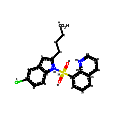 O=C(O)CCCc1cc2cc(Cl)ccc2n1S(=O)(=O)c1cccc2cccnc12